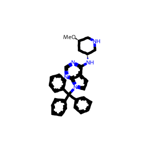 CO[C@@H]1CNC[C@H](Nc2ncnc3c2ccn3C(c2ccccc2)(c2ccccc2)c2ccccc2)C1